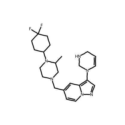 CC1CN(Cc2ccn3ncc(N4C=CCNC4)c3c2)CCN1C1CCC(F)(F)CC1